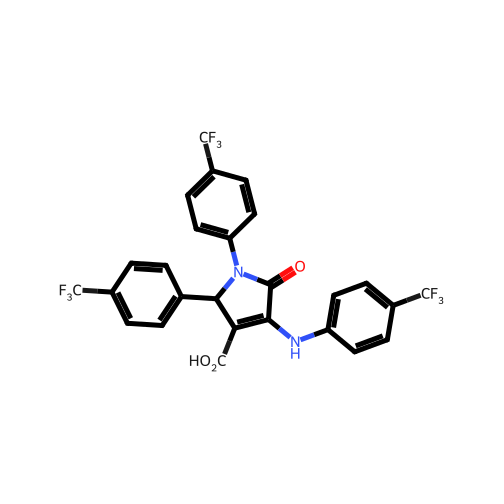 O=C(O)C1=C(Nc2ccc(C(F)(F)F)cc2)C(=O)N(c2ccc(C(F)(F)F)cc2)C1c1ccc(C(F)(F)F)cc1